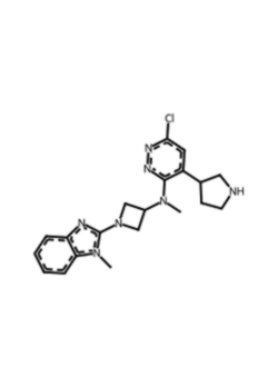 CN(c1nnc(Cl)cc1C1CCNC1)C1CN(c2nc3ccccc3n2C)C1